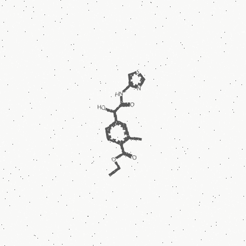 CCOC(=O)c1ccc(C(O)C(=O)Nc2cscn2)cc1C